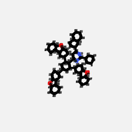 c1ccc(-c2nc(-c3ccc4ccccc4c3)cc(-c3c(-c4ccc5oc6ccccc6c5c4)cc(-c4ccc5oc6ccccc6c5c4)cc3-c3ccc4oc5ccccc5c4c3)n2)cc1